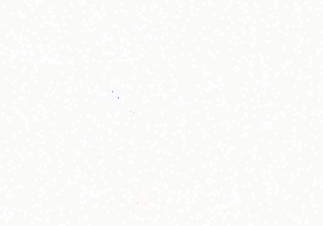 O=CC1C2CCN(CC2)C1C(c1ccccc1)c1ccccc1